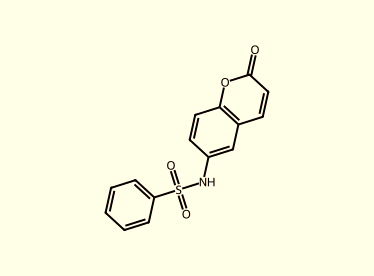 O=c1ccc2cc(NS(=O)(=O)c3ccccc3)ccc2o1